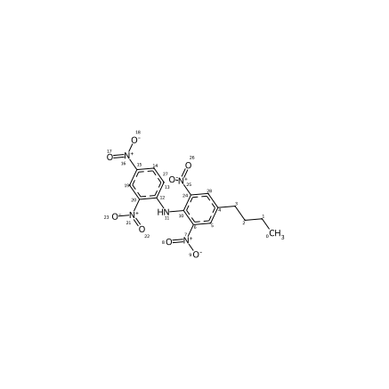 CCCCc1cc([N+](=O)[O-])c(Nc2ccc([N+](=O)[O-])cc2[N+](=O)[O-])c([N+](=O)[O-])c1